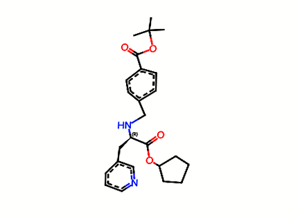 CC(C)(C)OC(=O)c1ccc(CN[C@H](Cc2cccnc2)C(=O)OC2CCCC2)cc1